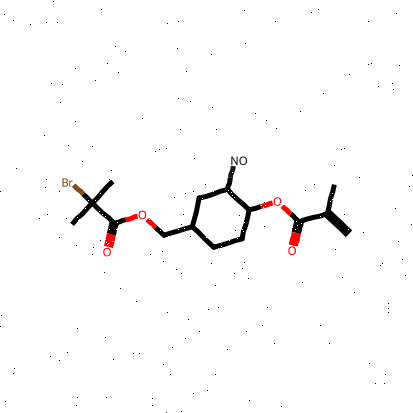 C=C(C)C(=O)OC1CCC(COC(=O)C(C)(C)Br)CC1N=O